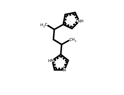 CC(CC(C)c1cnc[nH]1)c1cc[nH]c1